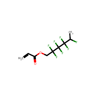 C=CC(=O)OCC(F)(F)C(F)(F)C(F)(F)C(F)C(F)(F)F